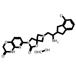 NC(CN1CC2(C1)CN(c1ccc3c(n1)NC(=O)CO3)C(=O)O2)C1Cc2cccc(Cl)c2C1.O=CO